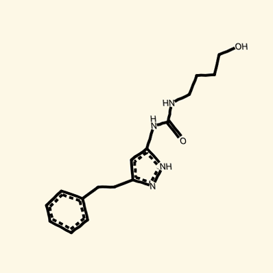 O=C(NCCCCO)Nc1cc(CCc2ccccc2)n[nH]1